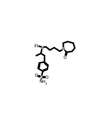 CCN(CCCCN1CCCCCC1=O)C(C)Cc1ccc(S(N)(=O)=O)cc1